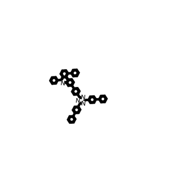 c1ccc(-c2ccc(-c3nc(-c4ccc(-c5ccccc5)cc4)nc(-c4ccc(-c5ccc6c(c5)nc(-c5ccccc5)c5cccc(-c7ccccc7)c56)cc4)n3)cc2)cc1